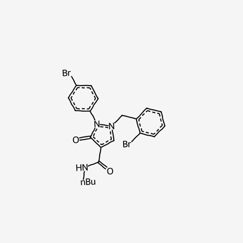 CCCCNC(=O)c1cn(Cc2ccccc2Br)n(-c2ccc(Br)cc2)c1=O